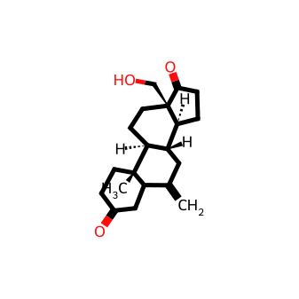 C=C1C[C@H]2[C@@H]3CCC(=O)[C@@]3(CO)CC[C@@H]2[C@@]2(C)CCC(=O)CC12